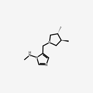 CNn1cncc1CN1C[C@H](C)[C@@H](C)C1